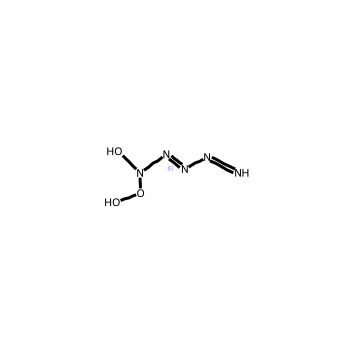 N=N/N=N/N(O)OO